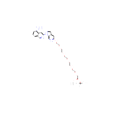 CC(C)(C)OC(=O)COCCOCCOCCOCCOCCOc1cc2ccn(-c3cc4c(N)cccc4cn3)c2cn1